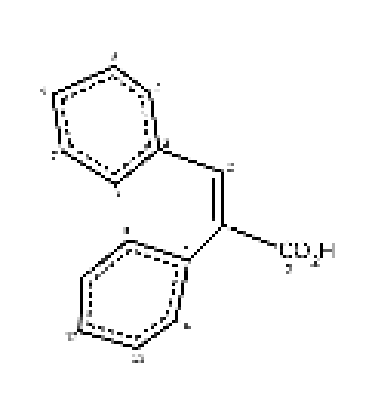 O=C(O)/C(=C/c1ccccc1)c1ccccc1